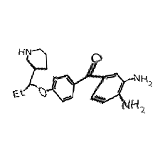 CCC(Oc1ccc(C(=O)c2ccc(N)c(N)c2)cc1)C1CCCNC1